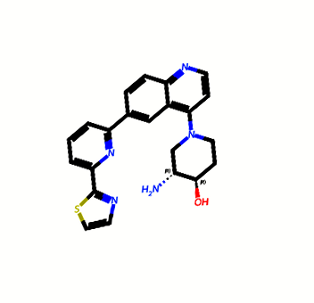 N[C@@H]1CN(c2ccnc3ccc(-c4cccc(-c5nccs5)n4)cc23)CC[C@H]1O